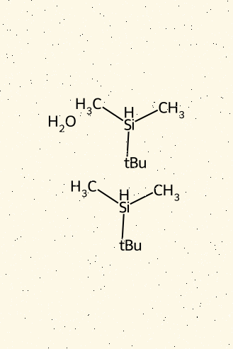 C[SiH](C)C(C)(C)C.C[SiH](C)C(C)(C)C.O